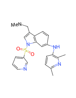 CNCc1cn(S(=O)(=O)c2cccnc2)c2cc(Nc3ccc(C)nc3C)ccc12